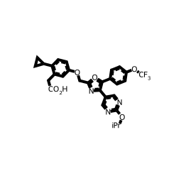 CC(C)Oc1ncc(-c2nc(COc3ccc(C4CC4)c(CC(=O)O)c3)oc2-c2ccc(OC(F)(F)F)cc2)cn1